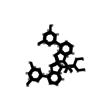 CC[C](CC)=[Hf]([CH3])([CH3])([CH]1C=Cc2c(-c3cc(C)cc(C)c3)cccc21)[CH]1C=Cc2c(-c3cc(C)cc(C)c3)cccc21